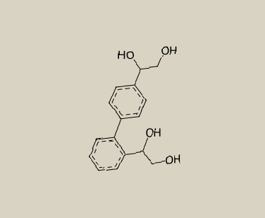 OCC(O)c1ccc(-c2ccccc2C(O)CO)cc1